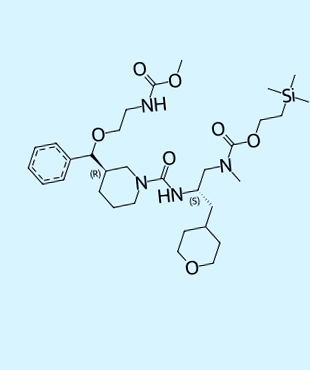 COC(=O)NCCOC(c1ccccc1)[C@@H]1CCCN(C(=O)N[C@@H](CC2CCOCC2)CN(C)C(=O)OCC[Si](C)(C)C)C1